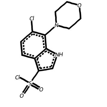 O=S(=O)(Cl)c1c[nH]c2c(N3CCOCC3)c(Cl)ccc12